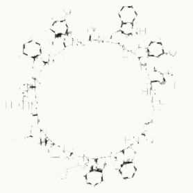 CCCC[C@H]1C(=O)N2CCC[C@@H]2C(=O)N[C@@H](CC(=O)O)C(=O)N[C@@H](C(C)C)C(=O)N(C)[C@@H](Cc2ccccc2)C(=O)N[C@@H](Cc2ccc(O)cc2)C(=O)N(C)CC(=O)N[C@@H](Cc2c[nH]c3ccccc23)C(=O)N[C@@H](Cc2ccc(O)cc2)C(=O)N[C@@H](CC(C)C)C(=O)N[C@H](C)CSCC(=O)N[C@@H](Cc2ccccc2)C(=O)N(C)[C@@H](Cc2ccccc2)C(=O)N1C